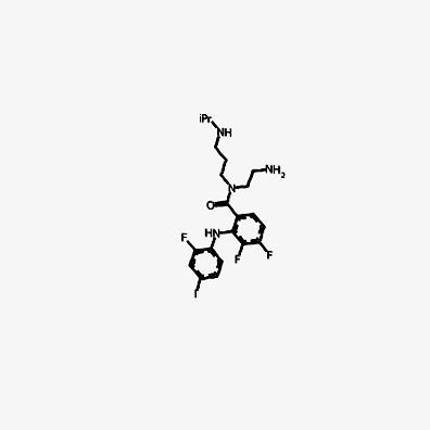 CC(C)NCCCN(CCN)C(=O)c1ccc(F)c(F)c1Nc1ccc(I)cc1F